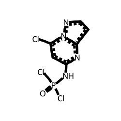 O=P(Cl)(Cl)Nc1cc(Cl)n2nccc2n1